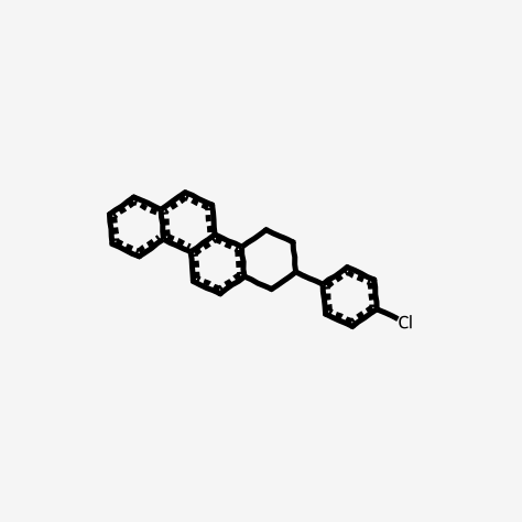 Clc1ccc(C2CCc3c(ccc4c3ccc3ccccc34)C2)cc1